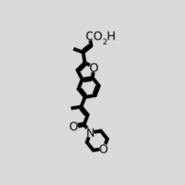 C/C(=C\C(=O)N1CCOCC1)c1ccc2oc(/C(C)=C/C(=O)O)cc2c1